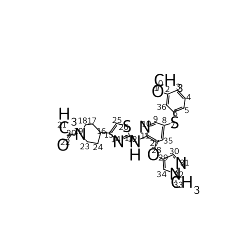 COc1cccc(Sc2cnc(Nc3nc(C4CCN(C(C)=O)CC4)cs3)c(Oc3cnn(C)c3)c2)c1